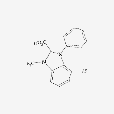 CN1c2ccccc2N(c2ccccc2)C1C(=O)O.I